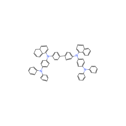 C1=CCC2C=CC=C(N(c3ccc(-c4ccc(N(c5ccc(N(c6ccccc6)c6ccccc6)cc5)c5cccc6ccccc56)cc4)cc3)c3ccc(N(c4ccccc4)c4ccccc4)cc3)C2=C1